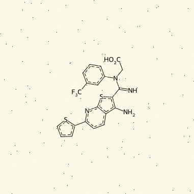 N=C(c1sc2nc(-c3cccs3)ccc2c1N)N(CC(=O)O)c1cccc(C(F)(F)F)c1